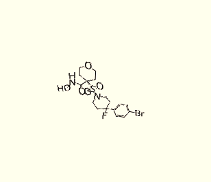 O=C(NO)C1(S(=O)(=O)N2CCC(F)(c3ccc(Br)cc3)CC2)CCOCC1